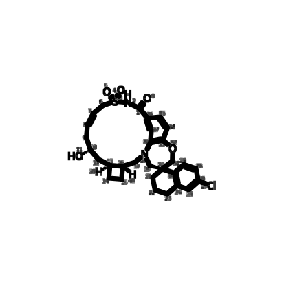 O=C1NS(=O)(=O)C/C=C\C[C@@H](O)C[C@@H]2CC[C@H]2CN2C[C@@]3(CCCc4cc(Cl)ccc43)COc3ccc1cc32